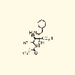 CCCCC(NC(=O)OC(C)(C)C)C(=O)C(O)(C(=O)O)C(N)CC1CCCCC1